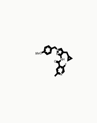 COc1ccc(Cn2cc(CC3CC3)c(NC(=O)c3cc(C)ncc3F)n2)cc1